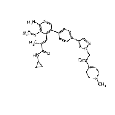 C=Nc1c(N)ncc(-c2ccc(-c3cnn(CC(=O)N4CCN(C)CC4)c3)cc2)c1/C=C(\C)C(=O)NC1CC1